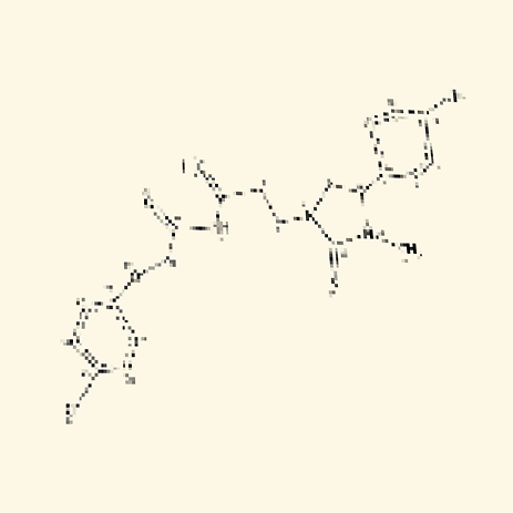 C=C(CCN1CC(c2ccc(Cl)cc2)N(C)C1=S)NC(=O)COc1ccc(Cl)cc1